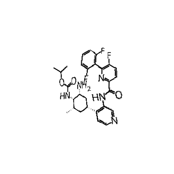 CC(C)OC(=O)N[C@@H]1[C@H](N)C[C@H](c2ccncc2NC(=O)c2ccc(F)c(-c3c(F)cccc3F)n2)C[C@@H]1C